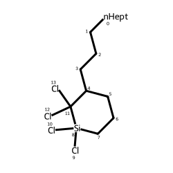 CCCCCCCCCCC1CCC[Si](Cl)(Cl)C1(Cl)Cl